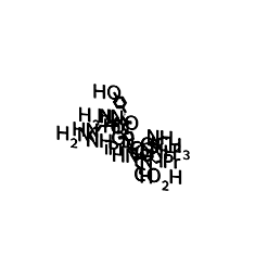 CC(C)C[C@@H](NC(=O)[C@@H](CCC(=O)O)NC(=O)[C@@H](C(C)C)N1CC[C@@H](NC(=O)[C@@H](Cc2ccc(O)cc2)NC(=O)[C@H](N)CCCNC(=N)N)C1=O)C(=O)N[C@H](C)C(N)=O